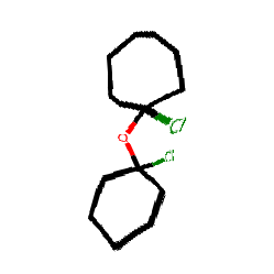 ClC1(OC2(Cl)CCCCC2)CCCCC1